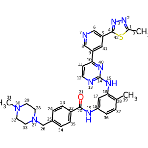 Cc1nnc(-c2cncc(-c3ccnc(Nc4cc(NC(=O)c5ccc(CN6CCN(C)CC6)cc5)ccc4C)n3)c2)s1